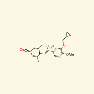 COc1ccc(/C(=C/N2C(C)=CC(=C=O)C=C2C)C(=O)O)cc1OCC1CC1